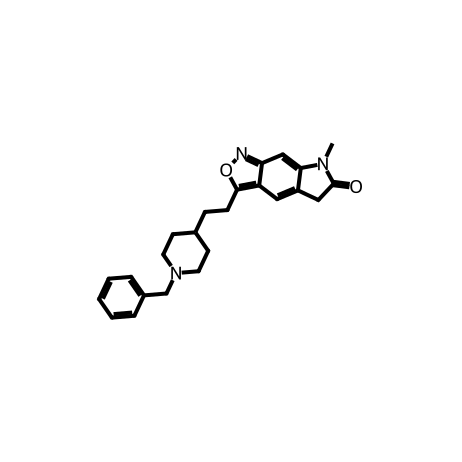 CN1C(=O)Cc2cc3c(CCC4CCN(Cc5ccccc5)CC4)onc3cc21